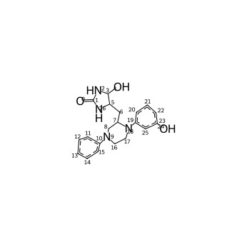 O=C1NC(O)C(CC2CN(c3ccccc3)CCN2c2cccc(O)c2)N1